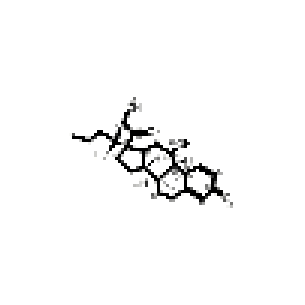 CCCC(O)(O)[C@]1(C(=O)CO)CC[C@H]2[C@@H]3CCC4=CC(=O)C=C[C@]4(C)[C@H]3C(O)C[C@@]21C